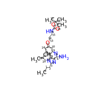 CCCc1nc2c(N)nc3cc(OCCCNC(=O)OC(C)(C)C)ccc3c2n1CC(C)C